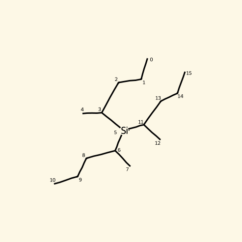 CCCC(C)[Si](C(C)CCC)C(C)CCC